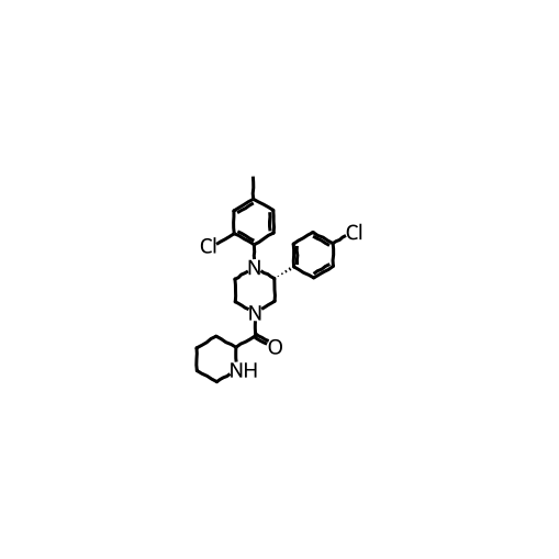 Cc1ccc(N2CCN(C(=O)C3CCCCN3)C[C@H]2c2ccc(Cl)cc2)c(Cl)c1